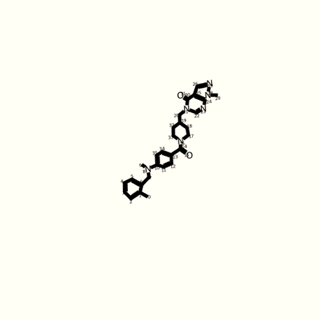 Cc1ccccc1CN(C)c1ccc(C(=O)N2CCC(Cn3cnc4c(cnn4C)c3=O)CC2)cc1